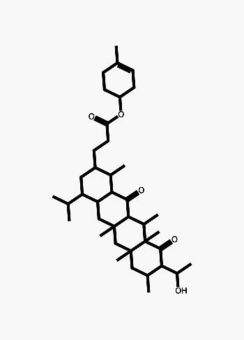 CC1=CCC(OC(=O)CCC2CC(C(C)C)C3CC4(C)CC5(C)CC(C)C(C(C)O)C(=O)C5(C)C(C)C4C(=O)C3C2C)CC1